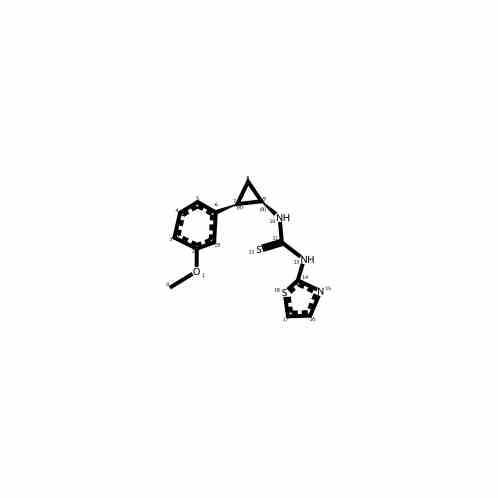 COc1cccc([C@H]2C[C@H]2NC(=S)Nc2nccs2)c1